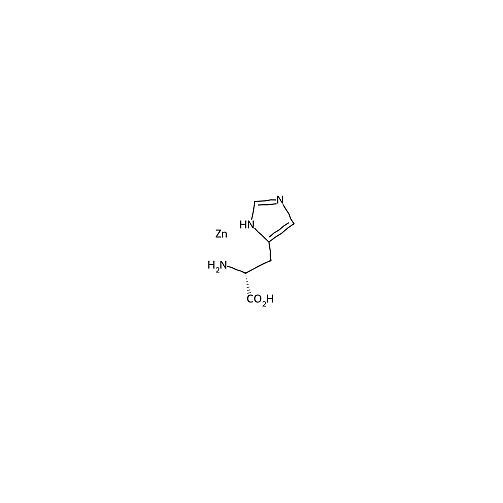 N[C@H](Cc1cnc[nH]1)C(=O)O.[Zn]